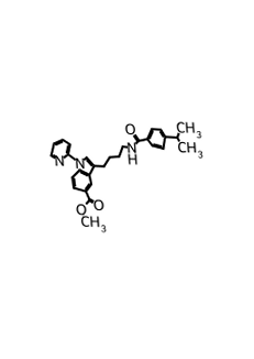 COC(=O)c1ccc2c(c1)c(CCCCNC(=O)c1ccc(C(C)C)cc1)cn2-c1ccccn1